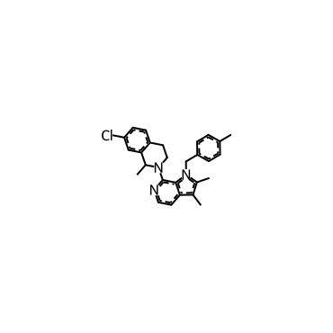 Cc1ccc(Cn2c(C)c(C)c3ccnc(N4CCc5ccc(Cl)cc5C4C)c32)cc1